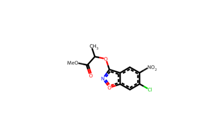 COC(=O)C(C)Oc1noc2cc(Cl)c([N+](=O)[O-])cc12